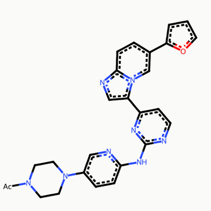 CC(=O)N1CCN(c2ccc(Nc3nccc(-c4cnc5ccc(-c6ccco6)cn45)n3)nc2)CC1